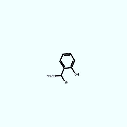 CCCCCC(S)c1ccccc1O